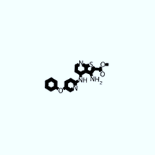 COC(=O)c1sc2nccc(Nc3ccc(Oc4ccccc4)cn3)c2c1N